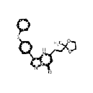 CC1(CCc2cc(=O)n3ncc(-c4ccc(Sc5ccccc5)cc4)c3[nH]2)OCCO1